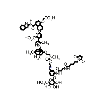 Cc1c(-c2ccc(N3CCc4c(OCC(=O)O)ccc(C(=O)Nc5nc6ccccc6s5)c4C3)nc2C(=O)O)cnn1CC12CC3(C)CC(C)(C1)CC(OCCN(C)C(=O)OC/C=C/c1ccc(O[C@H]4O[C@H](C(=O)O)[C@@H](O)[C@H](O)[C@@H]4O)c(NC(=O)CCNC(=O)CCCCCN4C(=O)C=CC4=O)c1)(C3)C2